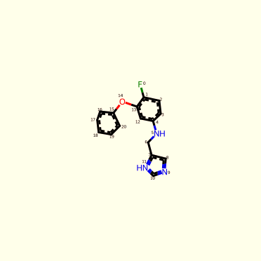 Fc1ccc(NCc2cnc[nH]2)cc1Oc1ccccc1